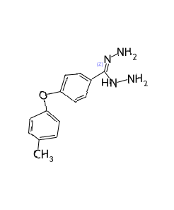 Cc1ccc(Oc2ccc(/C(=N/N)NN)cc2)cc1